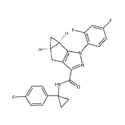 O=C(NC1(c2ccc(F)cc2)CC1)c1nn(-c2ccc(F)cc2F)c2c1C[C@H]1C[C@@H]21